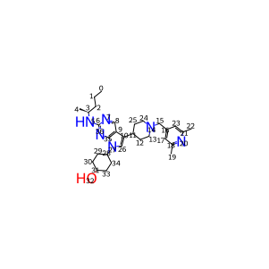 CCC[C@H](C)Nc1ncc2c(C3CCN(Cc4cc(C)nc(C)c4)CC3)cn(C3CCC(O)CC3)c2n1